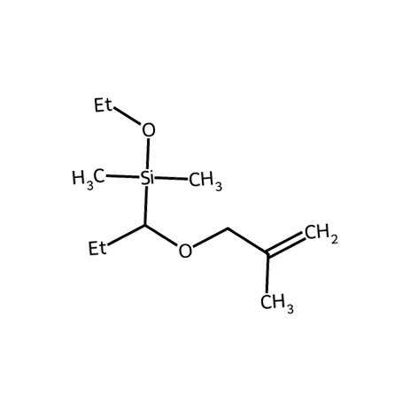 C=C(C)COC(CC)[Si](C)(C)OCC